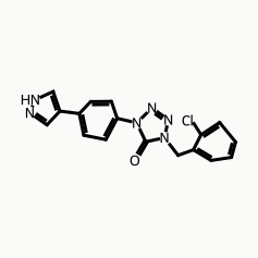 O=c1n(Cc2ccccc2Cl)nnn1-c1ccc(-c2cn[nH]c2)cc1